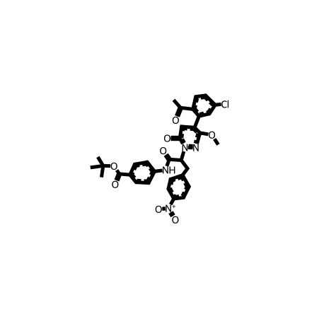 COc1nn(C(Cc2ccc([N+](=O)[O-])cc2)C(=O)Nc2ccc(C(=O)OC(C)(C)C)cc2)c(=O)cc1-c1cc(Cl)ccc1C(C)=O